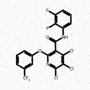 O=C(Nc1cccc(F)c1F)c1c(Oc2cccc(C(F)(F)F)c2)nc(Cl)c(Cl)c1Cl